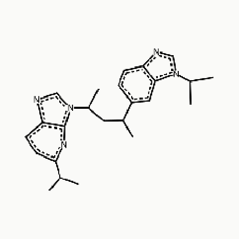 CC(C)c1ccc2ncn(C(C)CC(C)c3ccc4ncn(C(C)C)c4c3)c2n1